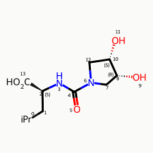 CC(C)C[C@H](NC(=O)N1C[C@@H](O)[C@@H](O)C1)C(=O)O